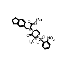 C[C@H]1C(=O)N([C@@H](Cc2ccc3c(c2)CCC3)C(=O)OC(C)(C)C)CCN1S(=O)(=O)c1ccccc1[N+](=O)[O-]